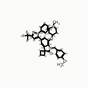 COc1ccc(CN2C(=O)C3(CCC3)c3cc(-c4cc(C(F)(F)F)nn4-c4ccccc4)cc(OC4CCN(C)CC4)c32)cc1